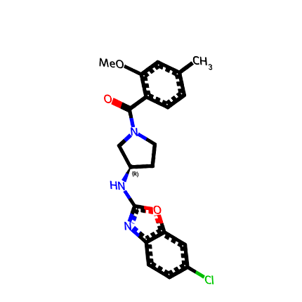 COc1cc(C)ccc1C(=O)N1CC[C@@H](Nc2nc3ccc(Cl)cc3o2)C1